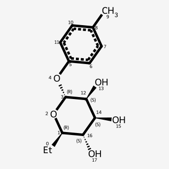 CC[C@H]1O[C@H](Oc2ccc(C)cc2)[C@@H](O)[C@@H](O)[C@@H]1O